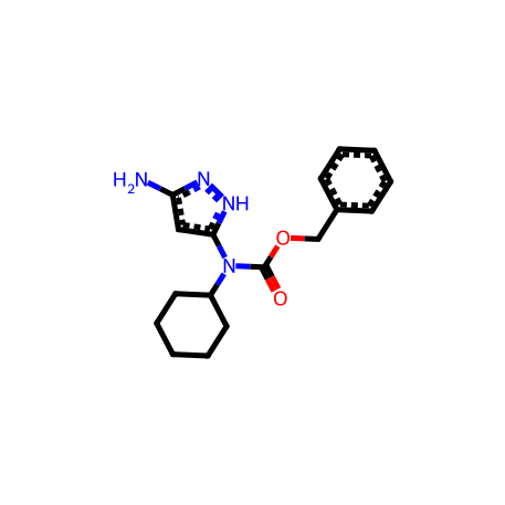 Nc1cc(N(C(=O)OCc2ccccc2)C2CCCCC2)[nH]n1